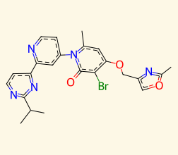 Cc1nc(COc2cc(C)n(-c3ccnc(-c4ccnc(C(C)C)n4)c3)c(=O)c2Br)co1